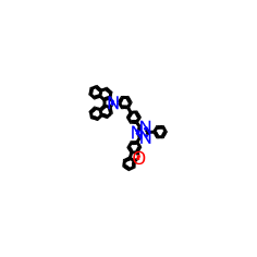 c1ccc(-c2nc(-c3ccc(-c4cccc(-n5c6ccc7ccccc7c6c6c7ccccc7ccc65)c4)cc3)nc(-c3ccc4c(c3)oc3ccccc34)n2)cc1